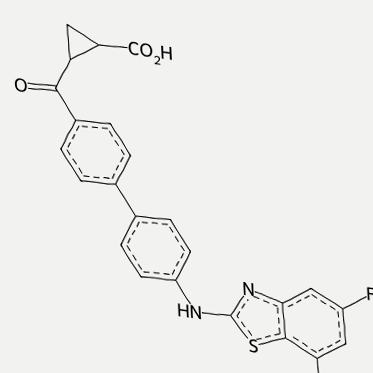 O=C(O)C1CC1C(=O)c1ccc(-c2ccc(Nc3nc4cc(F)cc(F)c4s3)cc2)cc1